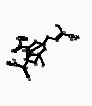 COC(=O)C12CC3(C)CC(CC=C(C)C(=O)O)(C1)CC(C(=O)OC)(C3)C2